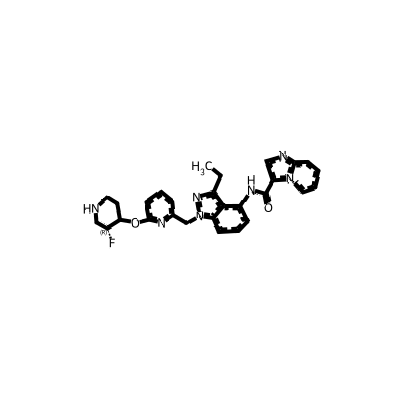 CCc1nn(Cc2cccc(OC3CCNC[C@H]3F)n2)c2cccc(NC(=O)c3cnc4ccccn34)c12